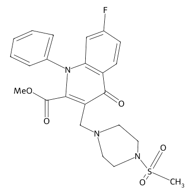 COC(=O)c1c(CN2CCN(S(C)(=O)=O)CC2)c(=O)c2ccc(F)cc2n1-c1ccccc1